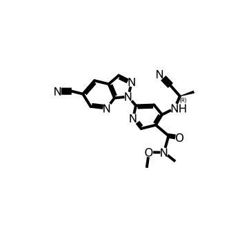 CON(C)C(=O)c1cnc(-n2ncc3cc(C#N)cnc32)cc1N[C@H](C)C#N